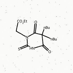 CCCCC1(CCCC)C(=O)NC(=S)N(CC(=O)OCC)C1=O